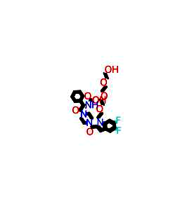 O=C(O)N[C@H](C(=O)N1CCN(C(=O)c2cc3cc(F)c(F)cc3n2CCOCCOCCOCCO)CC1)C1CCCCC1